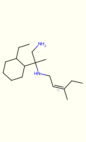 CC/C(C)=C\CNC(C)(CN)C1CCCCC1CC